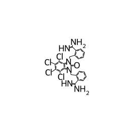 N=C(N)c1ccccc1Cn1c(=O)n(Cc2ccccc2C(=N)N)c2c(Cl)c(Cl)c(Cl)c(Cl)c21